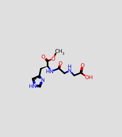 COC(=O)[C@H](Cc1c[nH]cn1)NC(=O)CNCC(=O)O